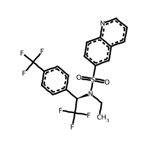 CCN([C@H](c1ccc(C(F)(F)F)cc1)C(F)(F)F)S(=O)(=O)c1ccc2ncccc2c1